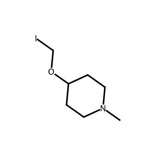 CN1CCC(OCI)CC1